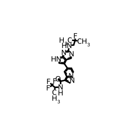 CC(NC(=O)c1cnn2ccc(-c3c[nH]c4nc(NCC(C)(C)F)ncc34)cc12)C(F)(F)F